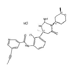 CC#Cc1cncc(C(=O)Nc2cccc([C@]3(C)CC(=O)N([C@@H]4CCO[C@H](C)C4)C(=N)N3)c2Cl)c1.Cl